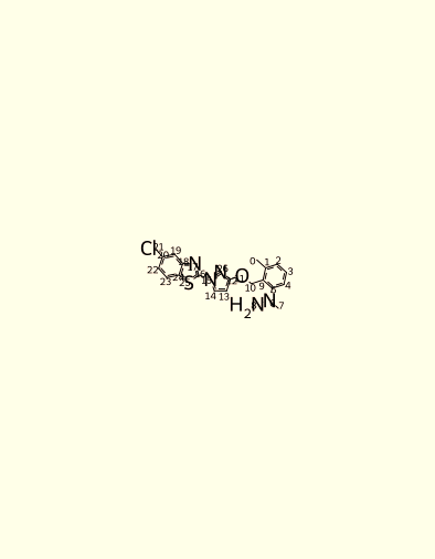 Cc1cccc(N(C)N)c1COc1ccn(-c2nc3cc(Cl)ccc3s2)n1